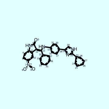 O=C1Nc2ccc([N+](=O)[O-])cc2/C1=C(/Nc1ccc(-c2c[nH]c(-c3ccccc3)n2)cc1)c1ccccc1